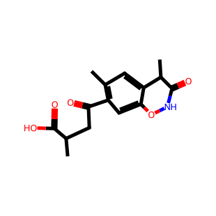 Cc1cc2c(cc1C(=O)CC(C)C(=O)O)ONC(=O)C2C